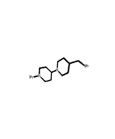 CC(C)CC1CCN(C2CCN(C(C)C)CC2)CC1